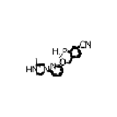 C[C@H]1CN(c2cccc(OCc3ccc(C#N)cc3P)n2)CCN1